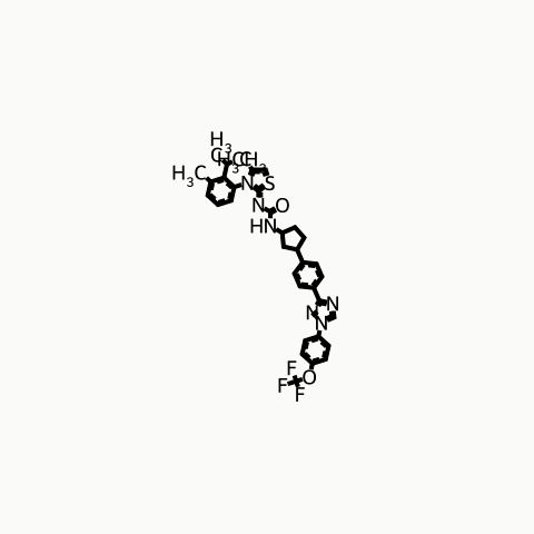 Cc1cccc(-n2c(C)cs/c2=N\C(=O)NC2CCC(c3ccc(-c4ncn(-c5ccc(OC(F)(F)F)cc5)n4)cc3)C2)c1C(C)C